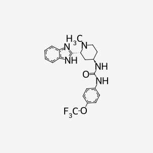 CN1CC[C@@H](NC(=O)Nc2ccc(OC(F)(F)F)cc2)C[C@@H]1c1nc2ccccc2[nH]1